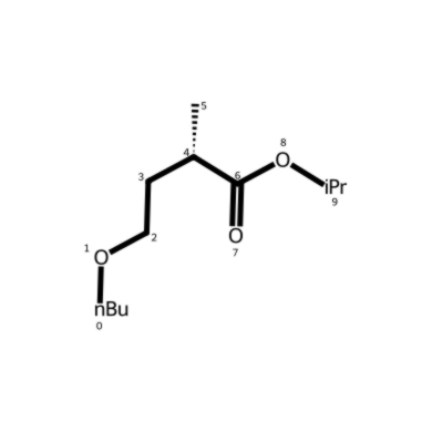 CCCCOCC[C@H](C)C(=O)OC(C)C